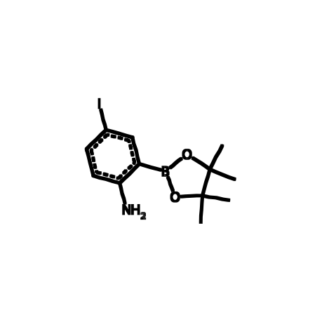 CC1(C)OB(c2cc(I)ccc2N)OC1(C)C